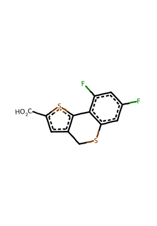 O=C(O)c1cc2c(s1)-c1c(F)cc(F)cc1SC2